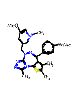 COC1=CN(C)CC(CN2N=C(c3ccc(NC(C)=O)cc3)c3c(sc(C)c3C)-n3c(C)nnc32)=C1